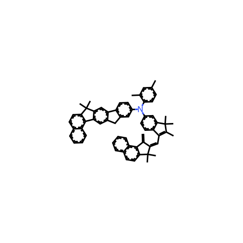 C=C1/C(=C\C2=C(C)C(C)(C)c3cc(N(c4ccc5c(c4)Cc4cc6c(cc4-5)C(C)(C)c4ccc5ccccc5c4-6)c4ccc(C)cc4C)ccc32)C(C)(C)c2ccc3ccccc3c21